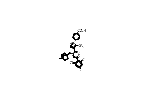 CC12CCC(CN(CC(=O)c3c(Cl)cc(F)cc3Cl)C(=O)c3cnn([C@H]4CC[C@H](C(=O)O)CC4)c3C(F)(F)F)(CC1)C2